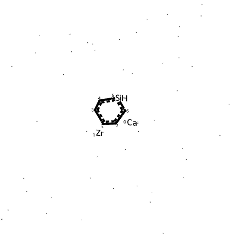 [Ca].[Zr].c1cc[siH]cc1